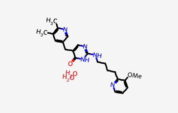 COc1cccnc1CCCCNc1ncc(Cc2cnc(C)c(C)c2)c(=O)[nH]1.O.O